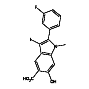 Cn1c(-c2cccc(F)c2)c(I)c2cc(C(=O)O)c(O)cc21